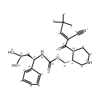 CC(C)(C)/C=C(\C#N)C(=O)N1CCNC[C@@H]1COC(=O)N[C@H](CB(O)O)c1ccccc1